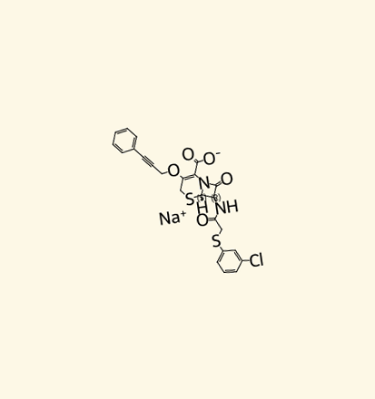 O=C(CSc1cccc(Cl)c1)N[C@@H]1C(=O)N2C(C(=O)[O-])=C(OCC#Cc3ccccc3)CS[C@@H]12.[Na+]